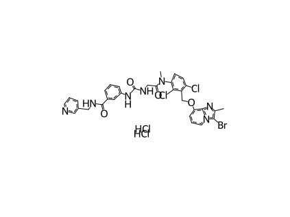 Cc1nc2c(OCc3c(Cl)ccc(N(C)C(=O)CNC(=O)Nc4cccc(C(=O)NCc5cccnc5)c4)c3Cl)cccn2c1Br.Cl.Cl